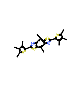 Cc1sc(-c2nc3c(C)c4sc(-c5sc(C)c(C)c5C)nc4c(C)c3s2)c(C)c1C